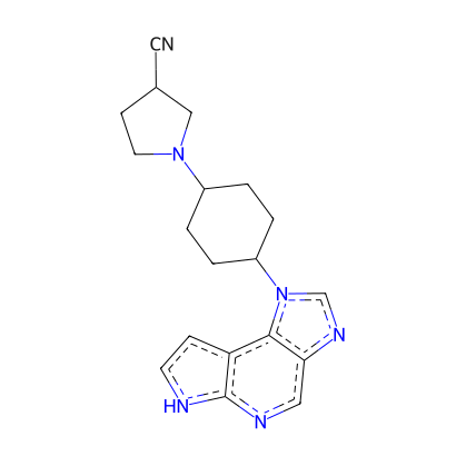 N#CC1CCN(C2CCC(n3cnc4cnc5[nH]ccc5c43)CC2)C1